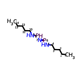 CCCCCNP=NPNCCCCC